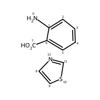 Nc1ccccc1C(=O)O.c1cscn1